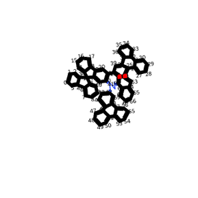 c1ccc2c(c1)-c1ccccc1C21c2ccccc2-c2cc(-c3ccc4c5ccccc5c5ccccc5c4c3)c(N(c3ccc4c5ccccc5c5ccccc5c4c3)c3cccc4ccccc34)cc21